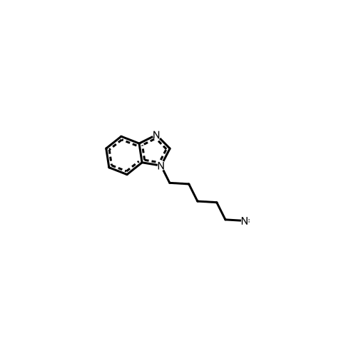 [N]CCCCCn1cnc2ccccc21